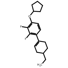 CCC1CC=C(c2ccc(OC3CCCC3)c(F)c2F)CC1